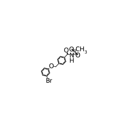 CS(=O)(=O)NC(=O)c1ccc(COc2cccc(Br)c2)cc1